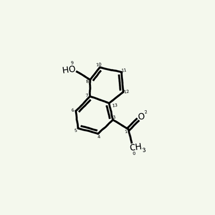 CC(=O)c1cccc2c(O)cccc12